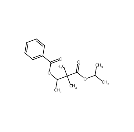 CC(C)OC(=O)C(C)(C)C(C)OC(=O)c1ccccc1